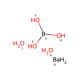 O.O.OB(O)O.[BaH2]